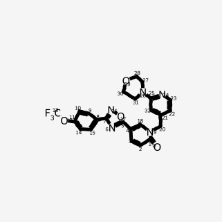 O=c1ccc(-c2nc(-c3ccc(OC(F)(F)F)cc3)no2)cn1Cc1ccnc(N2CCOCC2)c1